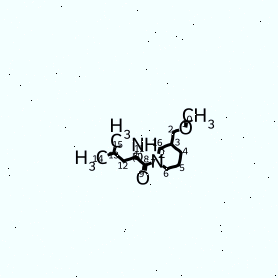 COCC1CCCN(C(=O)[C@@H](N)CC(C)C)C1